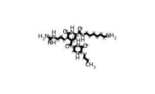 CCCC[C@@H]1NC[C@H](C(=O)C2C[C@H](C(=O)NCCCCCCN)NC(=O)[C@@H]2CCCNC(=N)N)NC1=O